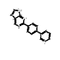 c1cncc(-c2ccc(-c3ncc4nc[nH]c4n3)cc2)c1